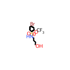 O=S(=O)(NCCCCO)c1ccc(Br)cc1OC(F)(F)F